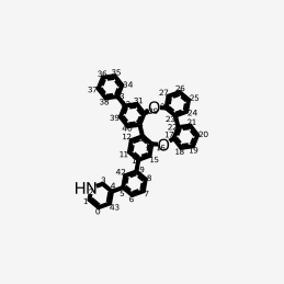 C1=CNCC(c2cccc(-c3ccc4c(c3)Oc3ccccc3-c3ccccc3Oc3cc(-c5ccccc5)ccc3-4)c2)=C1